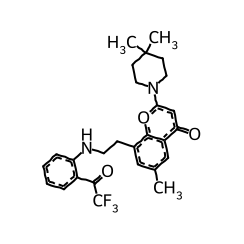 Cc1cc(CCNc2ccccc2C(=O)C(F)(F)F)c2oc(N3CCC(C)(C)CC3)cc(=O)c2c1